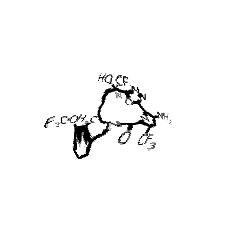 Cc1c(CN2CCCCC[C@](O)(C(F)(F)F)c3nnc(o3)-c3nc(c(C(F)(F)F)cc3N)C2=O)cccc1OC(F)(F)F